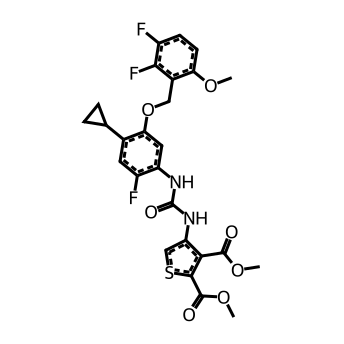 COC(=O)c1scc(NC(=O)Nc2cc(OCc3c(OC)ccc(F)c3F)c(C3CC3)cc2F)c1C(=O)OC